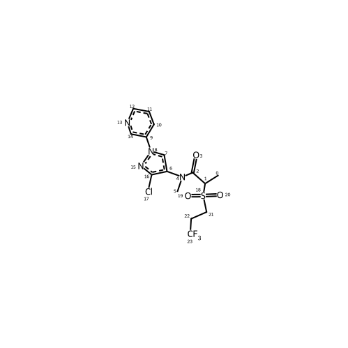 CC(C(=O)N(C)c1cn(-c2cccnc2)nc1Cl)S(=O)(=O)CCC(F)(F)F